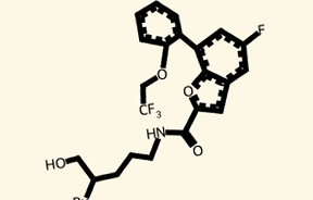 CCCCC(CO)CCCNC(=O)c1cc2cc(F)cc(-c3ccccc3OCC(F)(F)F)c2o1